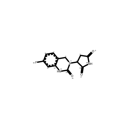 O=C1CC(N2Cc3ccc(F)cc3NC2=O)C(=O)N1